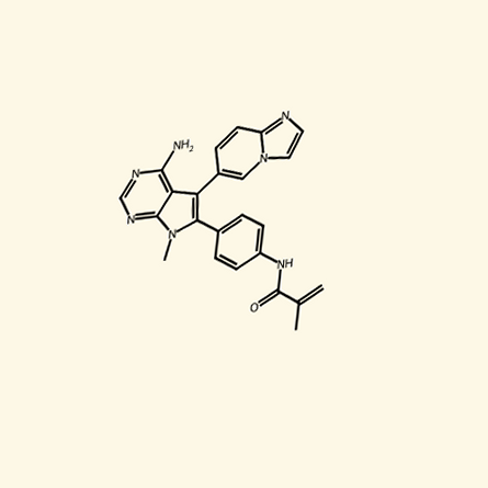 C=C(C)C(=O)Nc1ccc(-c2c(-c3ccc4nccn4c3)c3c(N)ncnc3n2C)cc1